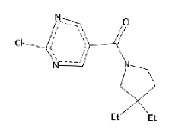 CCC1(CC)CCN(C(=O)c2cnc(Cl)nc2)C1